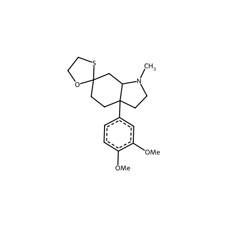 COc1ccc(C23CCN(C)C2CC2(CC3)OCCS2)cc1OC